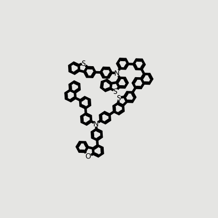 c1cc(-c2cccc(N(c3ccc(-c4ccc5c(c4)sc4cc(-c6ccc7c(-c8cccc(-c9cccc(N(c%10ccc(-c%11ccc%12c(c%11)sc%11ccccc%11%12)cc%10)c%10cccc%11sc%12ccccc%12c%10%11)c9)c8)cccc7c6)ccc45)cc3)c3ccc(-c4cccc5oc6ccccc6c45)cc3)c2)cc(-c2cccc3ccccc23)c1